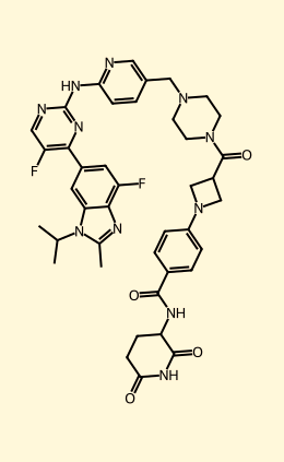 Cc1nc2c(F)cc(-c3nc(Nc4ccc(CN5CCN(C(=O)C6CN(c7ccc(C(=O)NC8CCC(=O)NC8=O)cc7)C6)CC5)cn4)ncc3F)cc2n1C(C)C